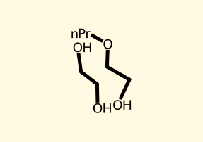 CCCOCCO.OCCO